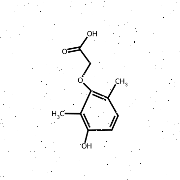 Cc1ccc(O)c(C)c1OCC(=O)O